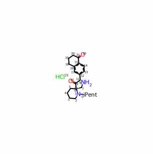 CCCC(C)N1CCCC[C@]1(CN)C(=O)Cc1ccc2c(c1)CCCC2=O.Cl